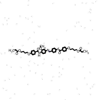 C=CC(=O)OCCCCOc1ccc(C(=O)Nc2ccc(/N=C/c3ccc(SC(=O)c4ccc(OCCCCOC(=O)C=C)cc4)cc3)cc2OC)cc1